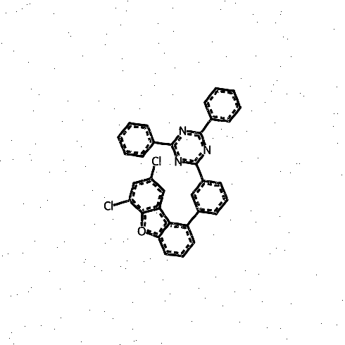 Clc1cc(Cl)c2oc3cccc(-c4cccc(-c5nc(-c6ccccc6)nc(-c6ccccc6)n5)c4)c3c2c1